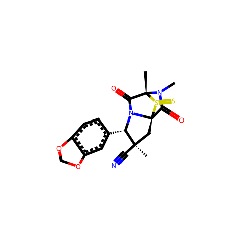 CN1C(=O)[C@]23C[C@@](C)(C#N)[C@H](c4ccc5c(c4)OCO5)N2C(=O)[C@@]1(C)S3=S